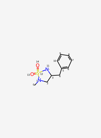 CN1CC(Cc2ccccc2)[N]S1(=O)=O